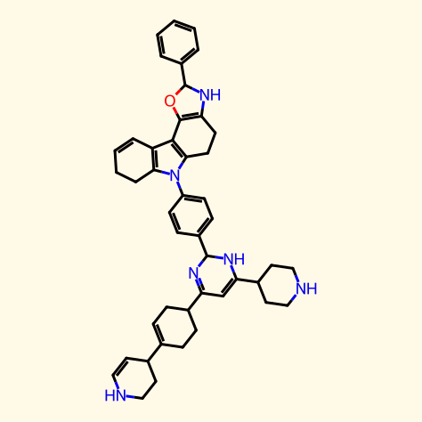 C1=Cc2c3c(n(-c4ccc(C5N=C(C6CC=C(C7C=CNCC7)CC6)C=C(C6CCNCC6)N5)cc4)c2CC1)CCC1=C3OC(c2ccccc2)N1